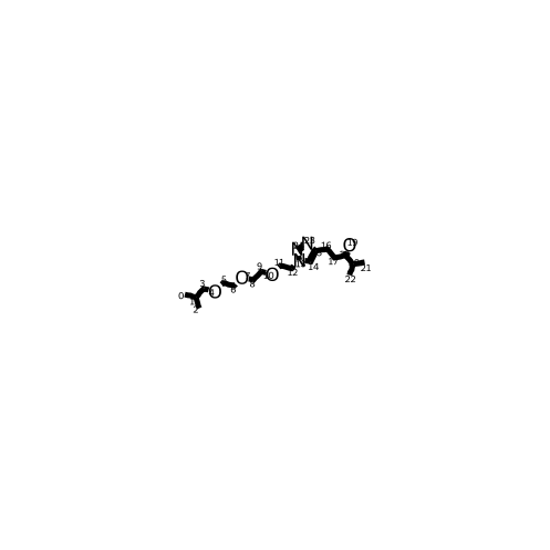 CC(C)COCCOCCOCCn1cc(CCC(=O)C(C)C)nn1